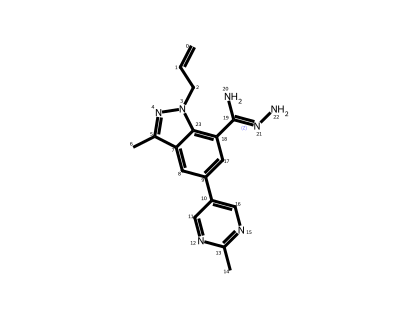 C=CCn1nc(C)c2cc(-c3cnc(C)nc3)cc(/C(N)=N/N)c21